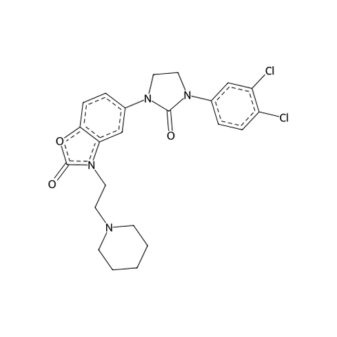 O=C1N(c2ccc(Cl)c(Cl)c2)CCN1c1ccc2oc(=O)n(CCN3CCCCC3)c2c1